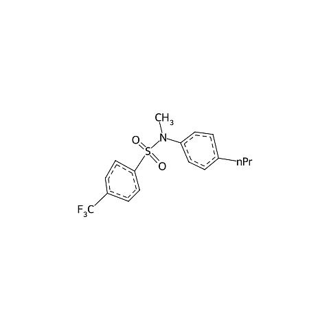 CCCc1ccc(N(C)S(=O)(=O)c2ccc(C(F)(F)F)cc2)cc1